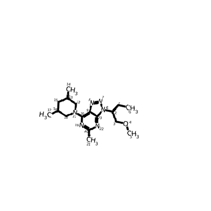 CCC(COC)n1nnc2c(N3CC(C)CC(C)C3)nc(C)nc21